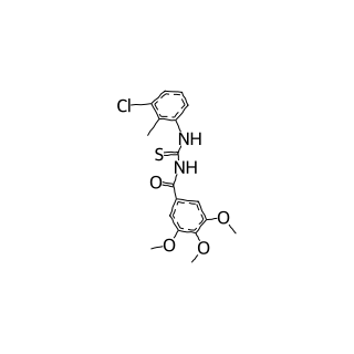 COc1cc(C(=O)NC(=S)Nc2cccc(Cl)c2C)cc(OC)c1OC